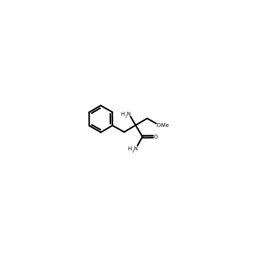 COCC(N)(Cc1ccccc1)C(N)=O